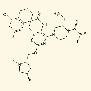 C=C(F)C(=O)N1CCN(c2nc(OC[C@@H]3C[C@@H](F)CN3C)nc3c2NC(=O)[C@]2(CCCc4c(Cl)cc(F)cc42)C3)C[C@@H]1CN